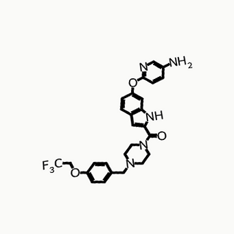 Nc1ccc(Oc2ccc3cc(C(=O)N4CCN(Cc5ccc(OCC(F)(F)F)cc5)CC4)[nH]c3c2)nc1